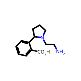 NCCN1CCCC1c1ccccc1C(=O)O